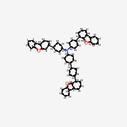 c1ccc2c(c1)oc1cc(-c3ccc(N(c4ccc(-c5ccc(-c6cccc7c6oc6ccccc67)cc5)cc4)c4ccc(-c5cccc6c5oc5ccccc56)cc4)cc3)ccc12